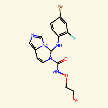 O=C(NOCCO)N1C=CC2=CN=C[N+]2C1Nc1ccc(Br)cc1F